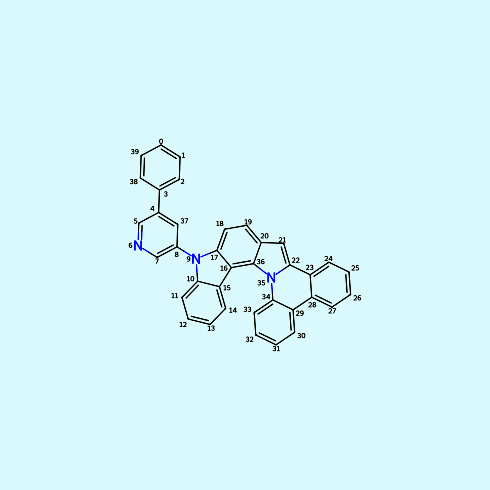 c1ccc(-c2cncc(-n3c4ccccc4c4c3ccc3cc5c6ccccc6c6ccccc6n5c34)c2)cc1